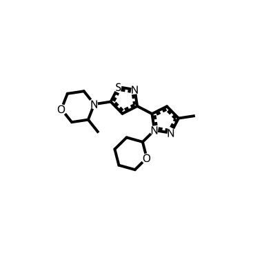 Cc1cc(-c2cc(N3CCOCC3C)sn2)n(C2CCCCO2)n1